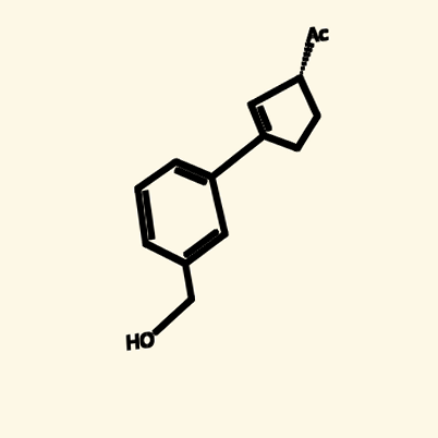 CC(=O)[C@H]1C=C(c2cccc(CO)c2)CC1